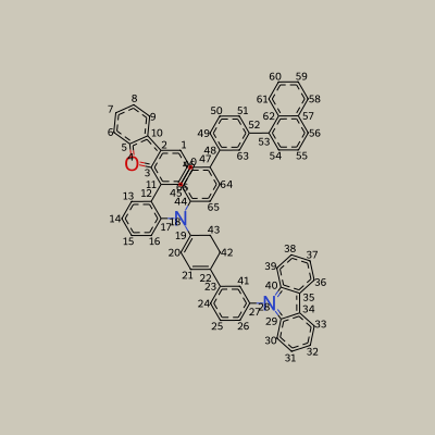 c1cc2c(oc3ccccc32)c(-c2ccccc2N(C2=CC=C(c3cccc(-n4c5ccccc5c5ccccc54)c3)CC2)c2ccc(-c3cccc(-c4cccc5ccccc45)c3)cc2)c#1